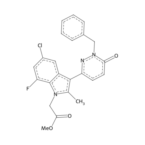 COC(=O)Cn1c(C)c(-c2ccc(=O)n(Cc3ccccc3)n2)c2cc(Cl)cc(F)c21